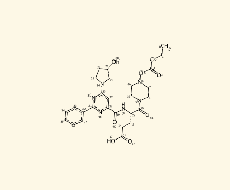 CCOC(=O)ON1CCN(C(=O)[C@H](CCC(=O)O)NC(=O)c2cc(N3CC[C@H](O)C3)nc(-c3ccccc3)n2)CC1